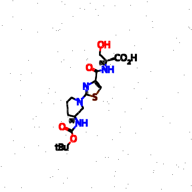 CC(C)(C)OC(=O)N[C@H]1CCCN(c2nc(C(=O)N[C@@H](CO)C(=O)O)cs2)C1